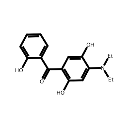 CCN(CC)c1cc(O)c(C(=O)c2ccccc2O)cc1O